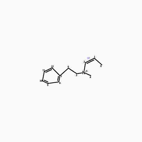 C/C=C\N(C)CCc1ccccc1